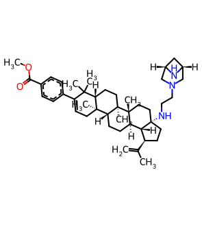 C=C(C)[C@@H]1CC[C@]2(NCCN3C[C@H]4C[C@@H](C3)N4)CC[C@]3(C)[C@H](CC[C@@H]4[C@@]5(C)CC=C(c6ccc(C(=O)OC)cc6)C(C)(C)[C@@H]5CC[C@]43C)[C@@H]12